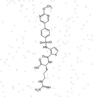 COc1ncc(-c2ccc(S(=O)(=O)Nc3ccsc3C(=O)N[C@@H](CCCNC(=N)N)C(=O)O)cc2)cn1